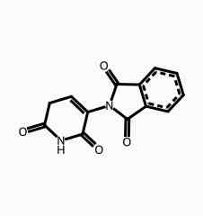 O=C1CC=C(N2C(=O)c3ccccc3C2=O)C(=O)N1